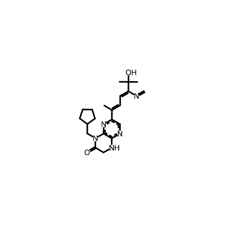 C=N/C(=C\C=C(/C)c1cnc2c(n1)N(CC1CCCC1)C(=O)CN2)C(C)(C)O